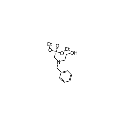 CCOP(=O)(CN(CCO)Cc1ccccc1)OCC